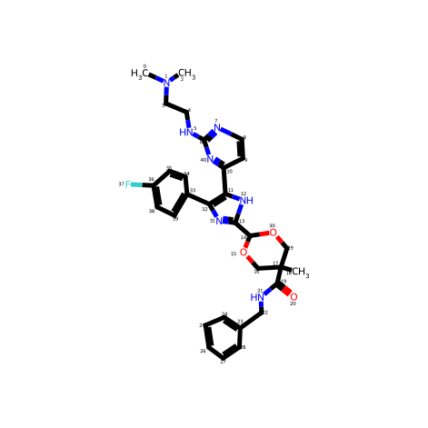 CN(C)CCNc1nccc(-c2[nH]c(C3OCC(C)(C(=O)NCc4ccccc4)CO3)nc2-c2ccc(F)cc2)n1